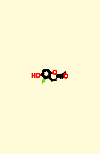 Oc1ccc2c(c1F)CC[C@@H]([C@@H]1CO1)O2